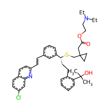 CCN(CC)CCOC(=O)CC1(CS[C@H](CCc2ccccc2C(C)(C)O)c2cccc(/C=C/c3ccc4ccc(Cl)cc4n3)c2)CC1